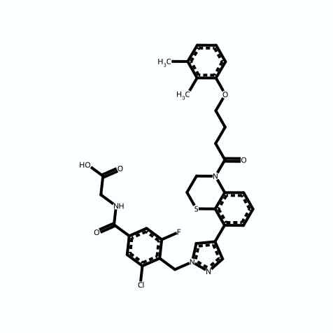 Cc1cccc(OCCCC(=O)N2CCSc3c(-c4cnn(Cc5c(F)cc(C(=O)NCC(=O)O)cc5Cl)c4)cccc32)c1C